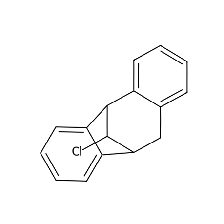 ClC1C2Cc3ccccc3C1c1ccccc12